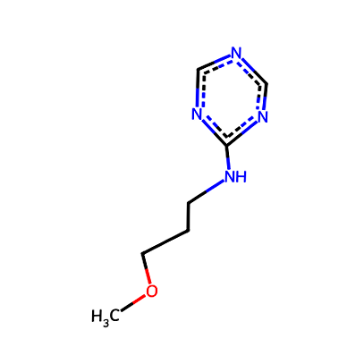 COCCCNc1ncncn1